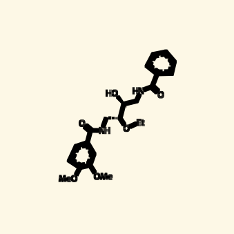 CCO[C@H](CNC(=O)c1ccc(OC)c(OC)c1)[C@@H](O)CNC(=O)c1ccccc1